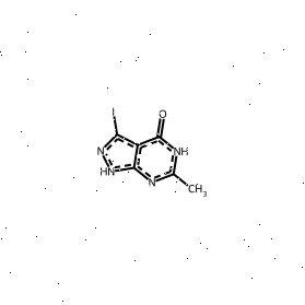 Cc1nc2[nH]nc(I)c2c(=O)[nH]1